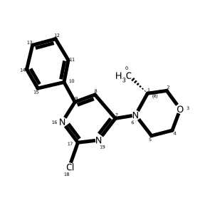 C[C@@H]1COCCN1c1cc(-c2ccccc2)nc(Cl)n1